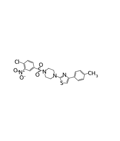 Cc1ccc(-c2csc(N3CCN(S(=O)(=O)c4ccc(Cl)c([N+](=O)[O-])c4)CC3)n2)cc1